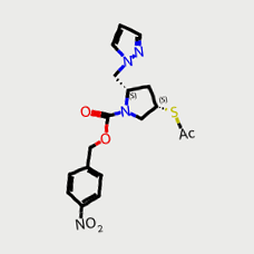 CC(=O)S[C@H]1C[C@@H](Cn2cccn2)N(C(=O)OCc2ccc([N+](=O)[O-])cc2)C1